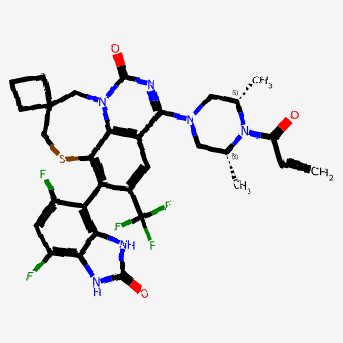 C=CC(=O)N1[C@H](C)CN(c2nc(=O)n3c4c(c(-c5c(F)cc(F)c6[nH]c(=O)[nH]c56)c(C(F)(F)F)cc24)SCC2(CCC2)C3)C[C@@H]1C